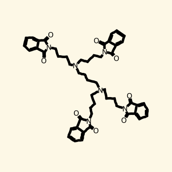 O=C1c2ccccc2C(=O)N1CCCCN(CCCCN(CCCCN1C(=O)c2ccccc2C1=O)CCCCN1C(=O)c2ccccc2C1=O)CCCCN1C(=O)c2ccccc2C1=O